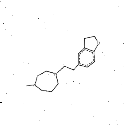 CN1CCCN(CCc2ccc3c(c2)CCO3)CC1